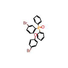 O=P(c1ccccc1)(c1ccccc1)c1cc(Br)ccc1Oc1ccc(Br)cc1